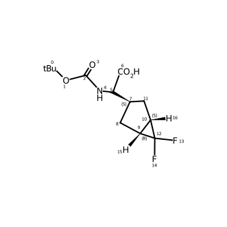 CC(C)(C)OC(=O)NC(C(=O)O)[C@@H]1C[C@@H]2[C@H](C1)C2(F)F